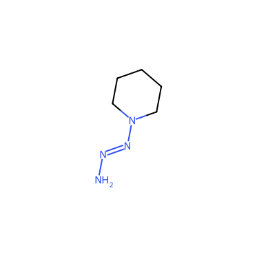 NN=NN1CCCCC1